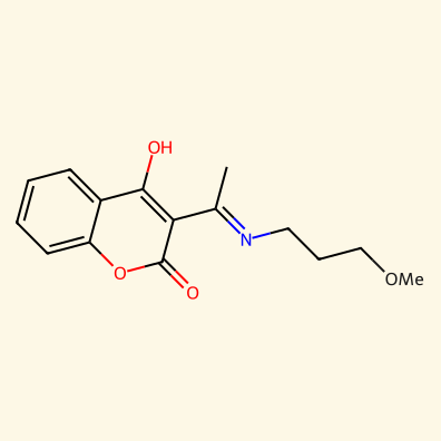 COCCC/N=C(\C)c1c(O)c2ccccc2oc1=O